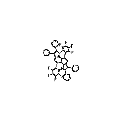 Fc1c(F)c(F)c(-n2c(-c3ccccc3)c(-c3ccccc3)c3ccc4c(ccc5c(-c6ccccc6)c(-c6ccccc6)n(-c6c(F)c(F)c(F)c(F)c6F)c54)c32)c(F)c1F